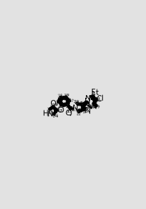 CCc1nc2c3c(nn2c(C)c1Cl)CN(C(=O)c1ccccc1OC1CNCC1O)C3